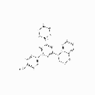 Nc1ncc(-c2cc(C3CCOc4ccccc43)cc(N3CCOCC3)n2)cn1